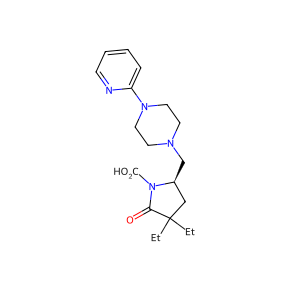 CCC1(CC)C[C@H](CN2CCN(c3ccccn3)CC2)N(C(=O)O)C1=O